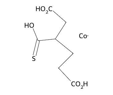 O=C(O)CCC(CC(=O)O)C(O)=S.[Co]